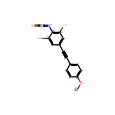 CCC(C)Oc1ccc(C#Cc2cc(F)c(N=C=S)c(F)c2)cc1